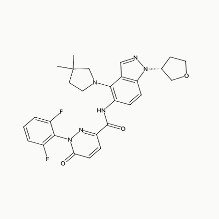 CC1(C)CCN(c2c(NC(=O)c3ccc(=O)n(-c4c(F)cccc4F)n3)ccc3c2cnn3[C@@H]2CCOC2)C1